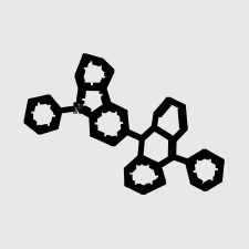 C1=CC2=C(c3ccccc3)c3ccccc3C(c3ccc4c(c3)c3ccccc3n4-c3ccccc3)C2C=C1